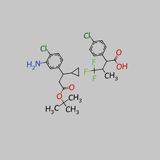 CC(C(C(=O)O)c1ccc(Cl)cc1)C(F)(F)F.CC(C)(C)OC(=O)CC(c1ccc(Cl)c(N)c1)C1CC1